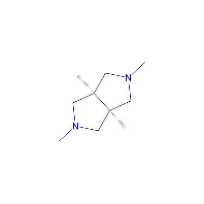 CN1C[C@]2(C)CN(C)C[C@]2(C)C1